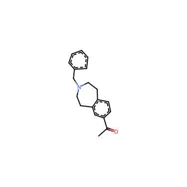 CC(=O)c1ccc2c(c1)CCN(Cc1ccccc1)CC2